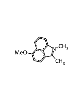 COc1ccc2c3c(cccc13)[N+](C)=C2C